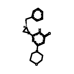 O=c1cc(N2CCOCC2)nc(N2C[C@@H]2Cc2ccccc2)[nH]1